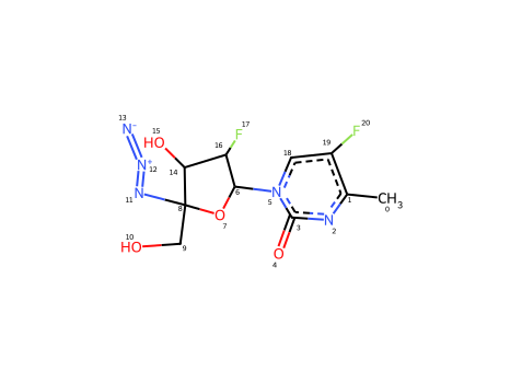 Cc1nc(=O)n(C2OC(CO)(N=[N+]=[N-])C(O)C2F)cc1F